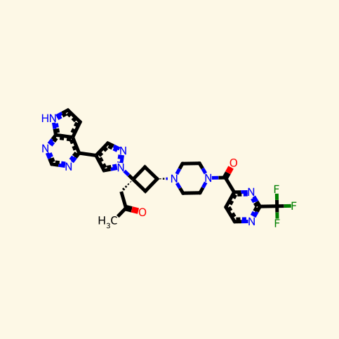 CC(=O)C[C@]1(n2cc(-c3ncnc4[nH]ccc34)cn2)C[C@H](N2CCN(C(=O)c3ccnc(C(F)(F)F)n3)CC2)C1